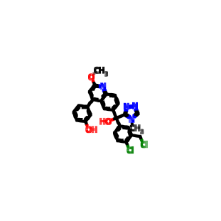 COc1cc(-c2cccc(O)c2)c2cc(C(O)(c3ccc(Cl)c(CCl)c3)c3nncn3C)ccc2n1